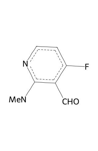 CNc1nccc(F)c1C=O